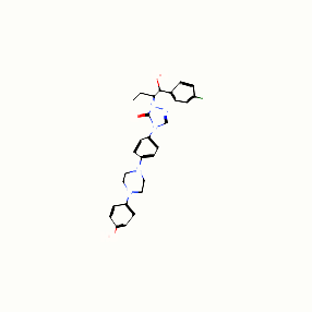 CCC(C(O)c1ccc(Cl)cc1)n1ncn(-c2ccc(N3CCN(c4ccc(O)cc4)CC3)cc2)c1=O